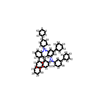 c1ccc(-c2ccc(N3c4cccc(-c5ccccc5)c4B4c5cc(-c6ccccc6)ccc5N(c5cccc(-c6ccccc6)c5)c5cc(-c6ccccc6)cc3c54)cc2)cc1